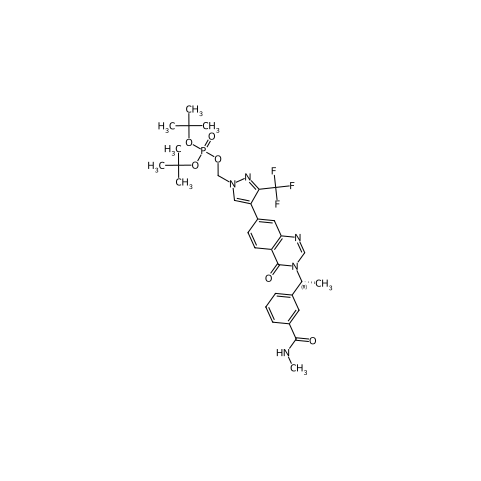 CNC(=O)c1cccc([C@@H](C)n2cnc3cc(-c4cn(COP(=O)(OC(C)(C)C)OC(C)(C)C)nc4C(F)(F)F)ccc3c2=O)c1